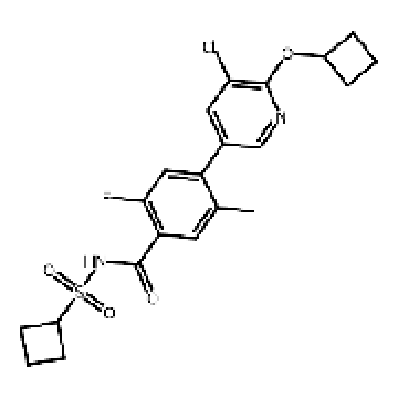 Cc1cc(C(=O)NS(=O)(=O)C2CCC2)c(F)cc1-c1cnc(OC2CCC2)c(Cl)c1